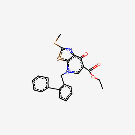 CCOC(=O)c1cn(Cc2ccccc2-c2ccccc2)c2sc(SC)nc2c1=O